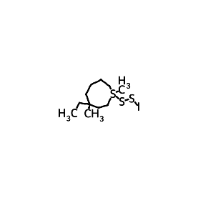 CC[C@]1(C)CCCCS(C)(SSI)CC1